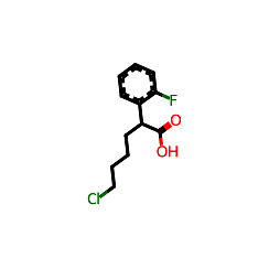 O=C(O)C(CCCCCl)c1ccccc1F